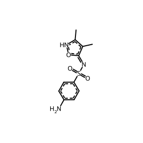 Cc1[nH]o/c(=N\S(=O)(=O)c2ccc(N)cc2)c1C